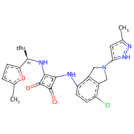 Cc1cc(N2Cc3c(Cl)ccc(Nc4c(N[C@@H](c5ccc(C)o5)C(C)(C)C)c(=O)c4=O)c3C2)[nH]n1